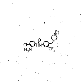 CCN1CCN(Cc2ccc(NC(=O)c3ccc(Cl)c(N)c3)cc2C(F)(F)F)CC1